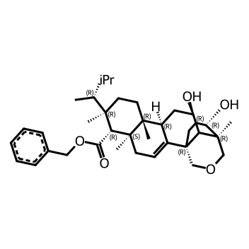 CC(C)[C@@H](C)[C@@]1(C)CC[C@]2(C)[C@H]3CCC4[C@@]5(COC[C@]4(C)[C@@H](O)[C@H](O)C5)C3=CC[C@@]2(C)[C@@H]1C(=O)OCc1ccccc1